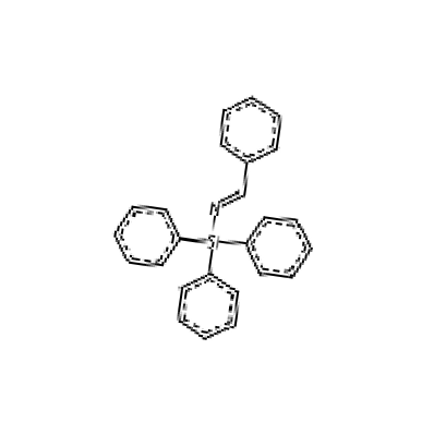 C(=N[Si](c1ccccc1)(c1ccccc1)c1ccccc1)c1ccccc1